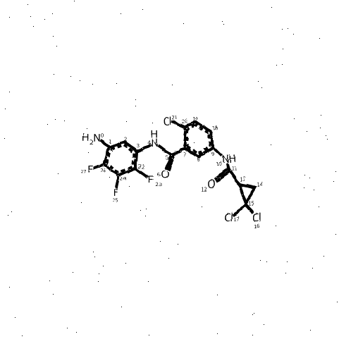 Nc1cc(NC(=O)c2cc(NC(=O)C3CC3(Cl)Cl)ccc2Cl)c(F)c(F)c1F